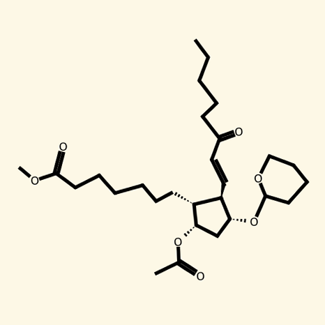 CCCCCC(=O)C=C[C@@H]1[C@@H](CCCCCCC(=O)OC)[C@@H](OC(C)=O)C[C@H]1OC1CCCCO1